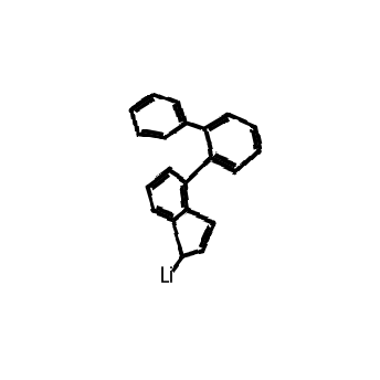 [Li][CH]1C=Cc2c(-c3ccccc3-c3ccccc3)cccc21